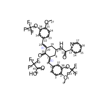 COc1ccc(/C=C2\CC(NC(=O)c3ccccn3)C/C(=C\c3ccc(OC)c(OC(F)(F)F)c3)C2=O)cc1OC(F)(F)F.O=C(O)C(F)(F)F